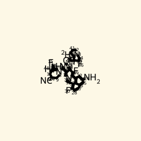 [2H]C([2H])(Oc1nc(N2CC[C@@H](C#N)C[C@H]3[C@@H](F)[C@H]32)c2cnc(-c3cc(N)cc4ccc(F)c(C#C)c34)c(F)c2n1)[C@@]12CCCN1C[C@H](F)C2